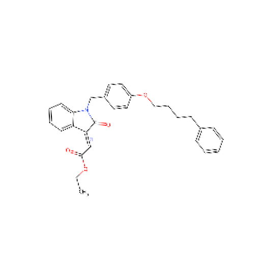 CCOC(=O)/C=C1/C(=O)N(Cc2ccc(OCCCCc3ccccc3)cc2)c2ccccc21